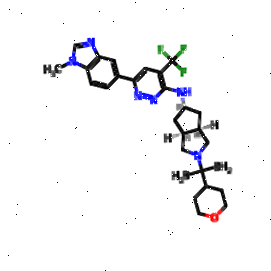 BC(B)(C1CCOCC1)N1C[C@H]2C[C@H](Nc3nnc(-c4ccc5c(c4)ncn5C)cc3C(F)(F)F)C[C@H]2C1